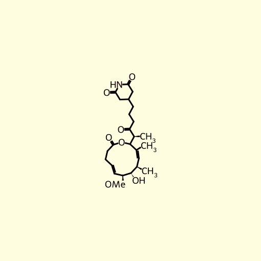 CO[C@H]1/C=C/CCC(=O)OC([C@H](C)C(=O)CCCC2CC(=O)NC(=O)C2)/C(C)=C\[C@@H](C)[C@@H]1O